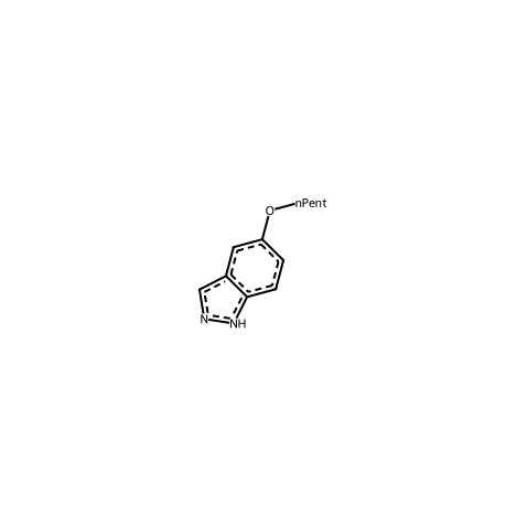 CCCCCOc1ccc2[nH]ncc2c1